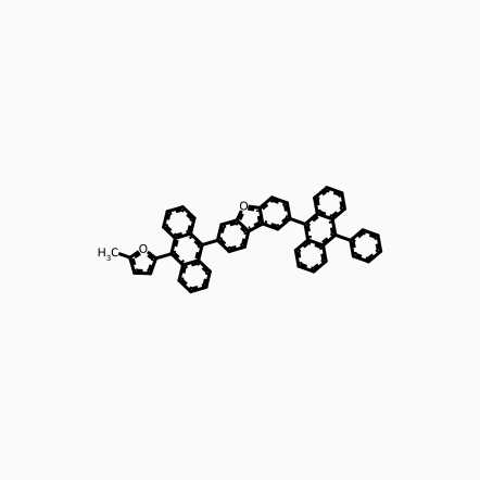 Cc1ccc(-c2c3ccccc3c(-c3ccc4c(c3)oc3ccc(-c5c6ccccc6c(-c6ccccc6)c6ccccc56)cc34)c3ccccc23)o1